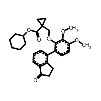 COc1ccc(-c2cccc3c2CCC3=O)c(OCC2(C(=O)OC3CCCCC3)CC2)c1OC